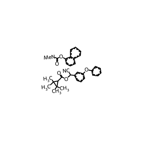 CC1(C)C(C(=O)OC(C#N)c2cccc(Oc3ccccc3)c2)C1(C)C.CNC(=O)Oc1cccc2ccccc12